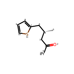 CC(C)C(=O)C[C@@H](C)Cc1cccs1